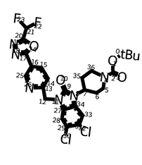 CC(C)(C)OC(=O)N1CCC(n2c(=O)n(Cc3ccc(-c4nnc(C(F)F)o4)cn3)c3cc(Cl)c(Cl)cc32)CC1